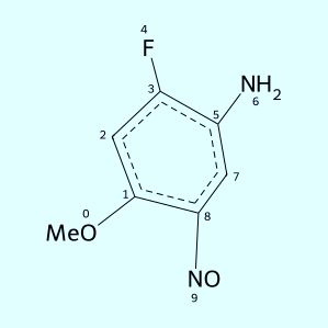 COc1cc(F)c(N)cc1N=O